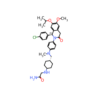 COc1cc2c(cc1OC(C)C)[C@H](c1ccc(Cl)cc1)N(c1ccc(N(C)C[C@H]3CC[C@H](NCC(N)=O)CC3)cc1)C(=O)C2